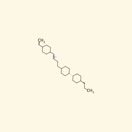 C=CC1CCC(/C=C/CCC2CCC([C@H]3CC[C@H](CCC)CC3)CC2)CC1